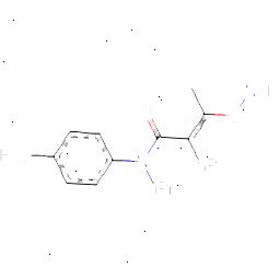 CCC/C(C(=O)N(c1ccc(C(F)(F)F)cc1)C(C)C)=C(/C)ON